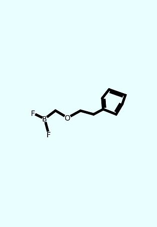 FB(F)COCCc1ccccc1